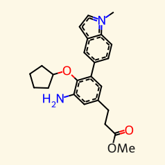 COC(=O)CCc1cc(N)c(OC2CCCC2)c(-c2ccc3c(ccn3C)c2)c1